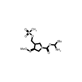 CON=C1CN(C(=O)OC(N)C(C)(C)C)CC1COS(C)(=O)=O